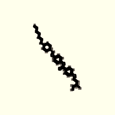 CCCCCCC[C@H]1CC[C@H](COc2ccc(OC(=O)c3ccc(OCC[C@@H](C)CC)cc3)cc2)CC1